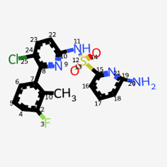 Cc1c(F)cccc1-c1nc(NS(=O)(=O)c2cccc(N)n2)ccc1Cl